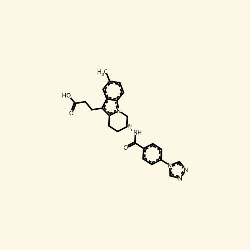 Cc1ccc2c(c1)c(CCC(=O)O)c1n2C[C@H](NC(=O)c2ccc(-n3cnnc3)cc2)CC1